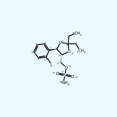 CCC1(CC)O[C@H](c2ccccc2I)[C@@H](COS(N)(=O)=O)O1